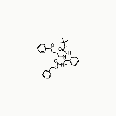 CC(C)(C)OC(=O)NN(CCCC(O)c1ccccc1)C(NC(=O)OCc1ccccc1)c1ccccc1